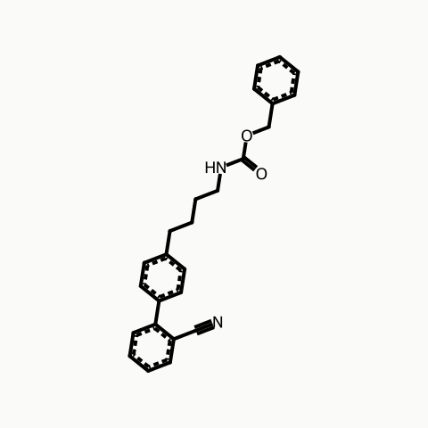 N#Cc1ccccc1-c1ccc(CCCCNC(=O)OCc2ccccc2)cc1